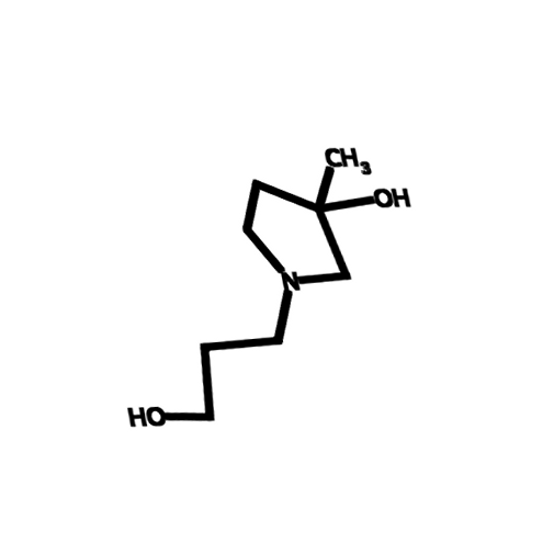 CC1(O)CCN(CCCO)C1